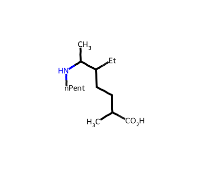 CCCCCNC(C)C(CC)CCC(C)C(=O)O